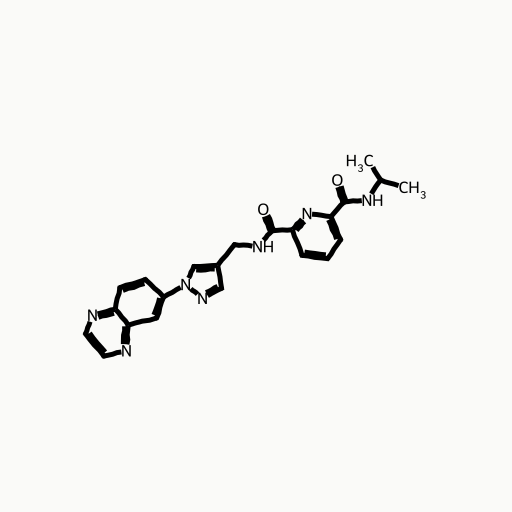 CC(C)NC(=O)c1cccc(C(=O)NCc2cnn(-c3ccc4nccnc4c3)c2)n1